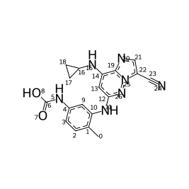 Cc1ccc(NC(=O)O)cc1Nc1cc(NC2CC2)c2ncc(C#N)n2n1